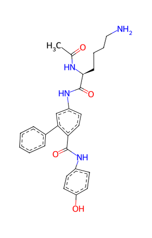 CC(=O)N[C@@H](CCCCN)C(=O)Nc1ccc(C(=O)Nc2ccc(O)cc2)c(-c2ccccc2)c1